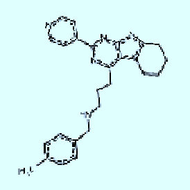 Cc1ccc(CNCCCc2nc(-c3ccncc3)nc3sc4c(c23)CCCC4)cc1